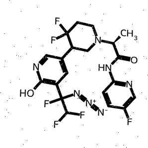 C[C@@H](C(=O)Nc1ccc(F)cn1)N1CCC(F)(F)C(c2cnc(O)c(C(F)(N=[N+]=[N-])C(F)F)c2)C1